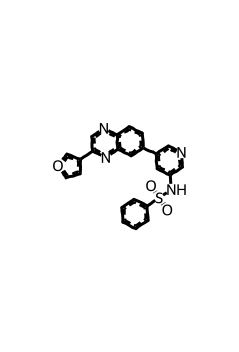 O=S(=O)(Nc1cncc(-c2ccc3ncc(-c4ccoc4)nc3c2)c1)c1ccccc1